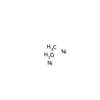 C.O.[Ni].[Ni]